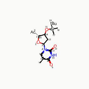 CC(=O)[C@H]1OC(n2cc(C)c(=O)[nH]c2=O)CC1O[Si](C)(C)C(C)(C)C